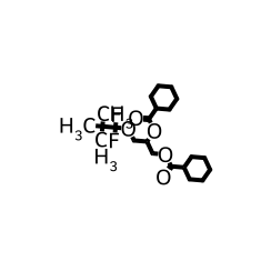 CC(C)(C)C(F)(F)OCC(COC(=O)C1CCCCC1)OC(=O)C1CCCCC1